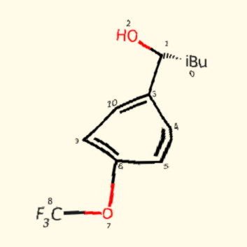 CC[C@@H](C)C(O)c1ccc(OC(F)(F)F)cc1